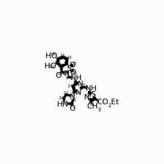 CCOC(=O)c1sc(Nc2nc(NCN3C(=O)c4c(ccc(O)c4O)S3(=O)=O)cc(N3CCNC(=O)C3)n2)nc1C